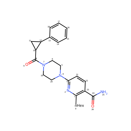 CCCCCCc1nc(N2CCN(C(=O)C3CC3c3ccccc3)CC2)ccc1C(N)=O